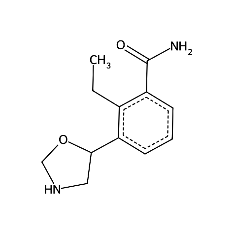 CCc1c(C(N)=O)cccc1C1CNCO1